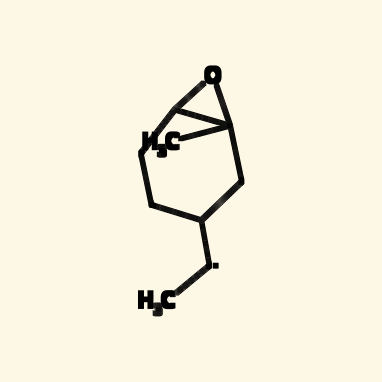 C[CH]C1CCC2OC2(C)C1